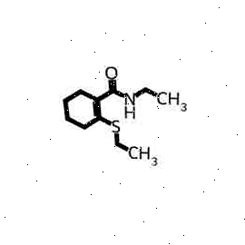 CCNC(=O)C1=C(SCC)CCCC1